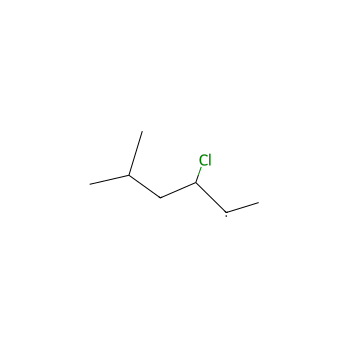 C[CH]C(Cl)CC(C)C